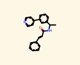 CC(NC(=O)C=Cc1ccccc1)c1cccc(-c2ccncc2)c1